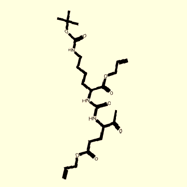 C=CCOC(=O)CCC(NC(=O)NC(CCCCNC(=O)OC(C)(C)C)C(=O)OCC=C)C(C)=O